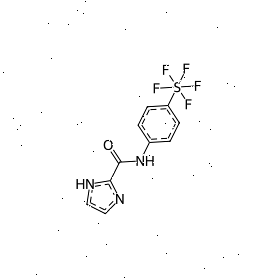 O=C(Nc1ccc(S(F)(F)(F)(F)F)cc1)c1ncc[nH]1